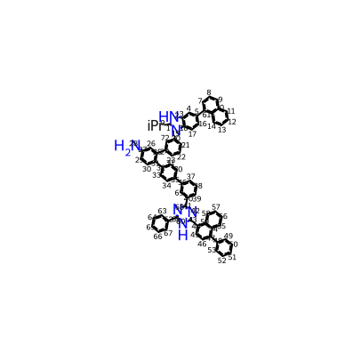 CC(C)C1Nc2cc(-c3cccc4ccccc34)ccc2N1c1cccc(-c2cc(N)ccc2-c2ccc(-c3cccc(C4=NC(c5ccc(-c6ccccc6)c6ccccc56)NC(c5ccccc5)=N4)c3)cc2)c1